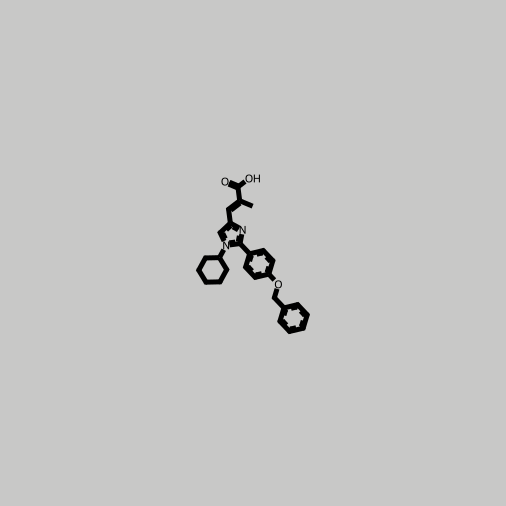 C/C(=C\c1cn(C2CCCCC2)c(-c2ccc(OCc3ccccc3)cc2)n1)C(=O)O